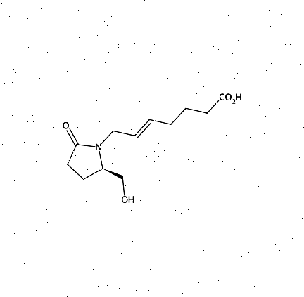 O=C(O)CCCC=CCN1C(=O)CC[C@@H]1CO